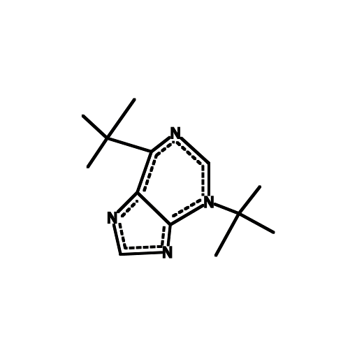 CC(C)(C)c1ncn(C(C)(C)C)c2ncnc1-2